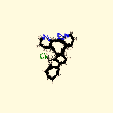 ClB1c2ccccc2-c2ccc3c4cccnc4c4ncccc4c3c21